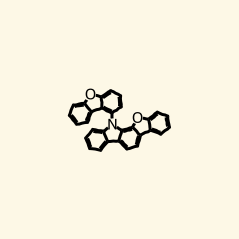 c1ccc2c(c1)oc1c2ccc2c3ccccc3n(-c3cccc4oc5ccccc5c34)c21